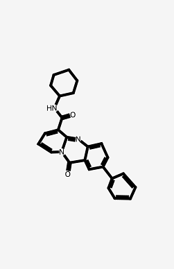 O=C(NC1CCCCC1)c1cccn2c(=O)c3cc(-c4ccccc4)ccc3nc12